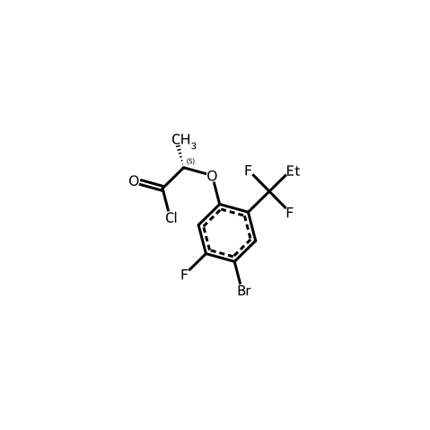 CCC(F)(F)c1cc(Br)c(F)cc1O[C@@H](C)C(=O)Cl